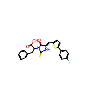 O=C(O)C(Cc1ccccc1)N1C(=O)C(=Cc2ccc(-c3ccc(F)cc3)s2)NC1=S